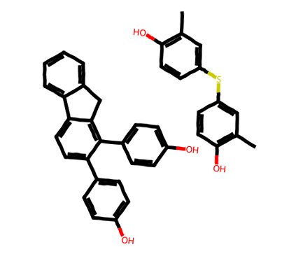 Cc1cc(Sc2ccc(O)c(C)c2)ccc1O.Oc1ccc(-c2ccc3c(c2-c2ccc(O)cc2)Cc2ccccc2-3)cc1